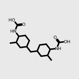 CC1CC(CC2CCC(NC(=O)O)C(C)C2)CCC1NC(=O)O